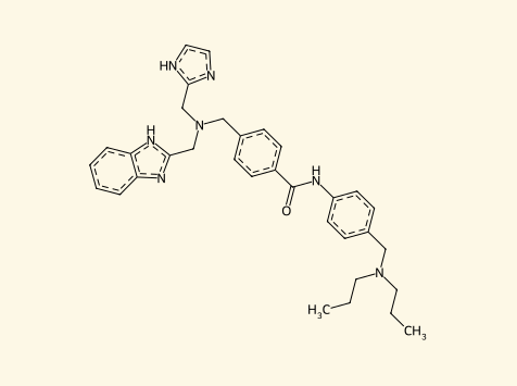 CCCN(CCC)Cc1ccc(NC(=O)c2ccc(CN(Cc3ncc[nH]3)Cc3nc4ccccc4[nH]3)cc2)cc1